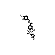 O=C(NCc1ccc(C(F)(F)F)c(F)c1)c1ccc(S(=O)(=O)Nc2ncc(Cl)s2)c(Cl)c1